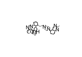 CCC1Oc2c(CCN3CCN(c4cccc5nc(C)ncc45)CC3)cccc2-n2cnc(C(=O)O)c21